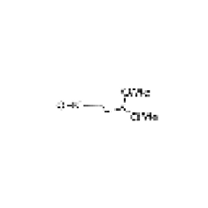 COC(CC[C]=O)OC